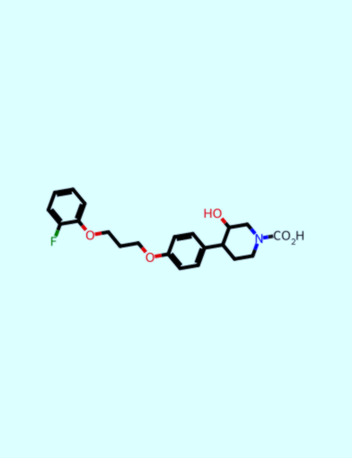 O=C(O)N1CCC(c2ccc(OCCCOc3ccccc3F)cc2)C(O)C1